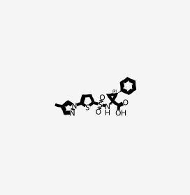 Cc1cnn(C2=CCC(S(=O)(=O)N[C@@]3(C(=O)O)C[C@@H]3c3ccccc3)S2)c1